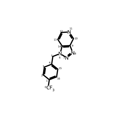 FC(F)(F)c1ccc(Cn2nnc3cnccc32)cc1